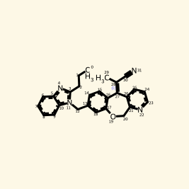 CCCc1nc2ccccc2n1Cc1ccc2c(c1)OCc1ncccc1/C2=C(/C)C#N